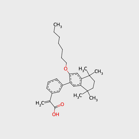 C=C(C(=O)O)c1cccc(-c2cc3c(cc2OCCCCCCC)C(C)(C)CCC3(C)C)c1